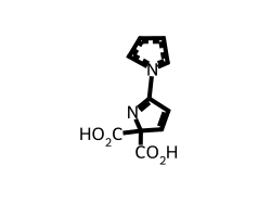 O=C(O)C1(C(=O)O)C=CC(n2cccc2)=N1